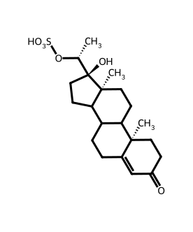 C[C@@H](OS(=O)(=O)O)[C@@]1(O)CCC2C3CCC4=CC(=O)CC[C@]4(C)C3CC[C@@]21C